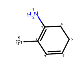 CC(C)C1=C(N)CCC=C1